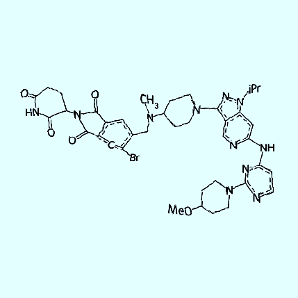 COC1CCN(c2nccc(Nc3cc4c(cn3)c(N3CCC(N(C)Cc5cc6c(cc5Br)C(=O)N(C5CCC(=O)NC5=O)C6=O)CC3)nn4C(C)C)n2)CC1